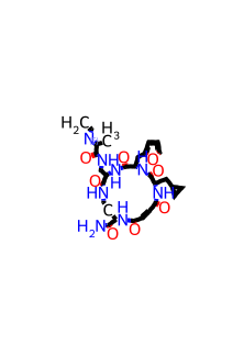 C=C/N=C(\C)C(=O)NCC1NC(=O)C(Cc2ccco2)NC(=O)C(CC2CC2)NC(=O)C=CC(=O)NC(C(N)=O)CCNC1=O